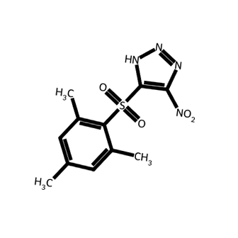 Cc1cc(C)c(S(=O)(=O)c2[nH]nnc2[N+](=O)[O-])c(C)c1